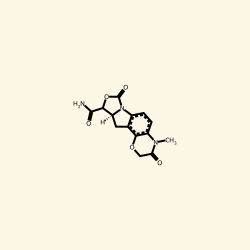 CN1C(=O)COc2c1ccc1c2C[C@H]2C(C(N)=O)OC(=O)N12